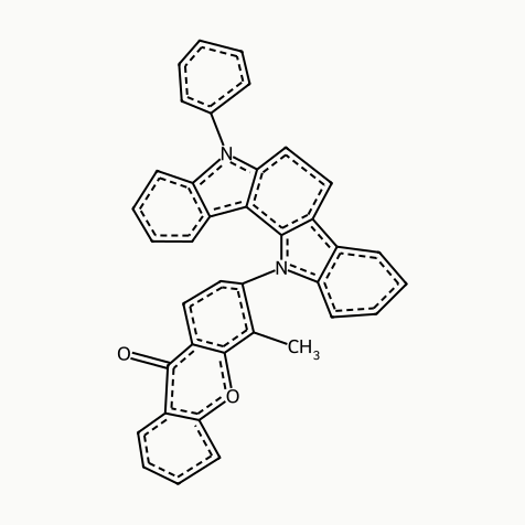 Cc1c(-n2c3ccccc3c3ccc4c(c5ccccc5n4-c4ccccc4)c32)ccc2c(=O)c3ccccc3oc12